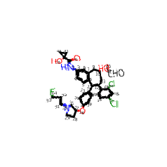 O=C(Nc1ccc2c(c1)CCCC(c1ccc(Cl)cc1Cl)=C2c1ccc(OC2CCN(CCCF)C2)cc1)C1(O)CC1.O=CO